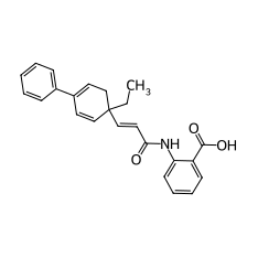 CCC1(/C=C/C(=O)Nc2ccccc2C(=O)O)C=CC(c2ccccc2)=CC1